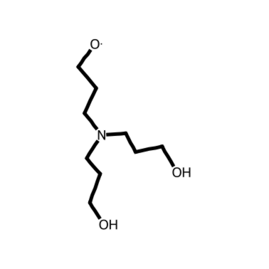 [O]CCCN(CCCO)CCCO